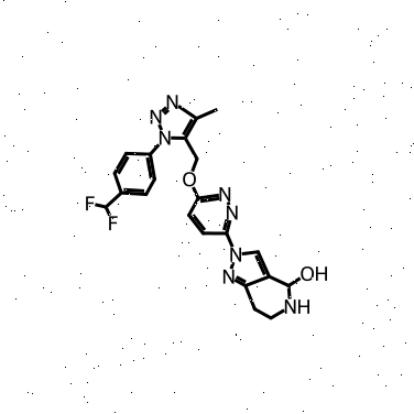 Cc1nnn(-c2ccc(C(F)F)cc2)c1COc1ccc(-n2cc3c(n2)CCNC3O)nn1